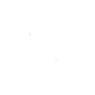 CC1(CCC[NH])CCCCN1